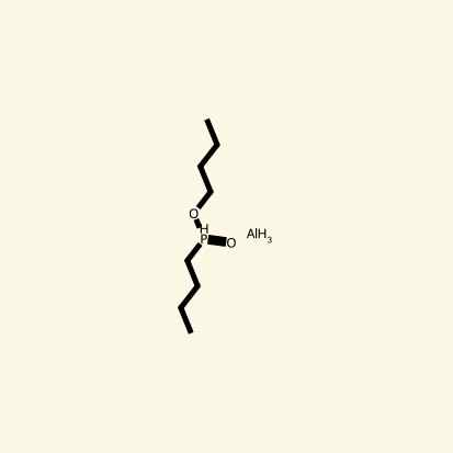 CCCCO[PH](=O)CCCC.[AlH3]